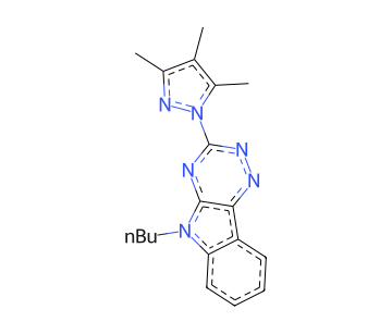 CCCCn1c2ccccc2c2nnc(-n3nc(C)c(C)c3C)nc21